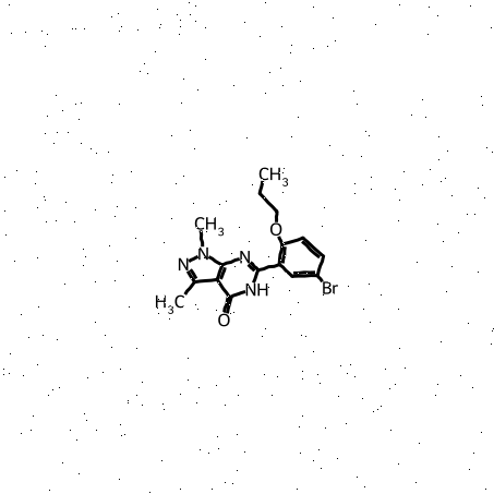 CCCOc1ccc(Br)cc1-c1nc2c(c(C)nn2C)c(=O)[nH]1